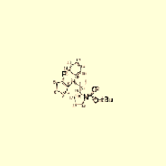 C[C@@H]([C@@H](c1ccccc1)c1ccccc1F)[C@H]1CCCN1C(=O)OC(C)(C)C